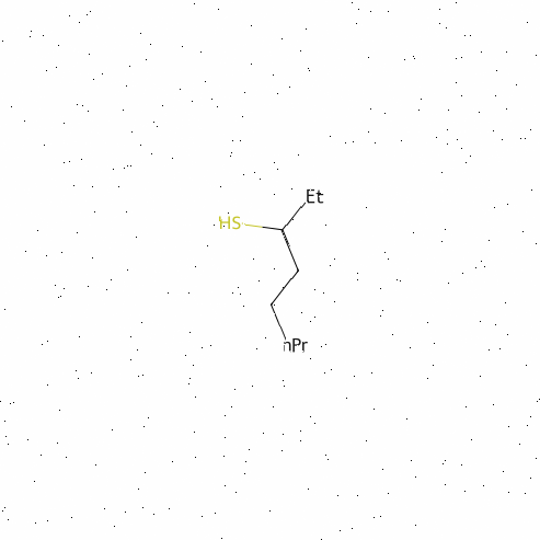 CCCCCC(S)CC